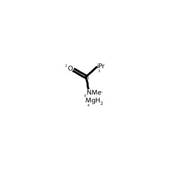 C[N]C(=O)C(C)C.[MgH2]